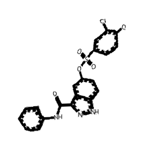 O=C(Nc1ccccc1)c1n[nH]c2ccc(OS(=O)(=O)c3ccc(Cl)c(Cl)c3)cc12